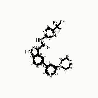 O=C(Nc1cnc(C(F)(F)F)cn1)c1n[nH]c2ccc(-c3cncc(N4CCOCC4)c3)cc12